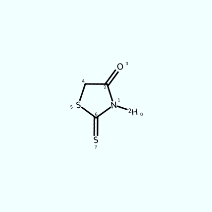 [2H]N1C(=O)CSC1=S